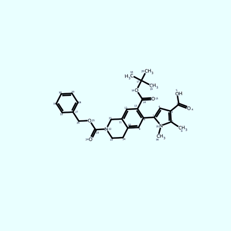 Cc1c(C(=O)O)cc(-c2cc3c(cc2C(=O)OC(C)(C)C)CN(C(=O)OCc2ccccc2)CC3)n1C